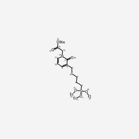 CCO[Si](CCCSCc1cccn(CC(=O)OC)c1=O)(OCC)OCC